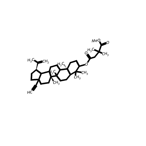 C#CC12CC[C@@H](C(=C)C)C1C1CCC3C(C)(CCC4C(C)(C)C(OC(=O)CC(C)(C)C(=O)OC)CC[C@@]43C)[C@]1(C)CC2